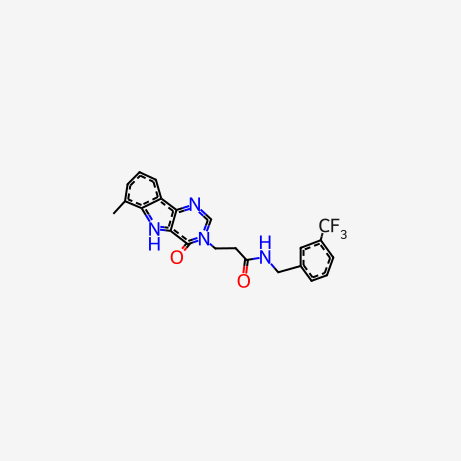 Cc1cccc2c1[nH]c1c(=O)n(CCC(=O)NCc3cccc(C(F)(F)F)c3)cnc12